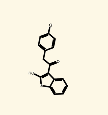 O=C(Cc1ccc(Cl)cc1)c1c(O)sc2ccccc12